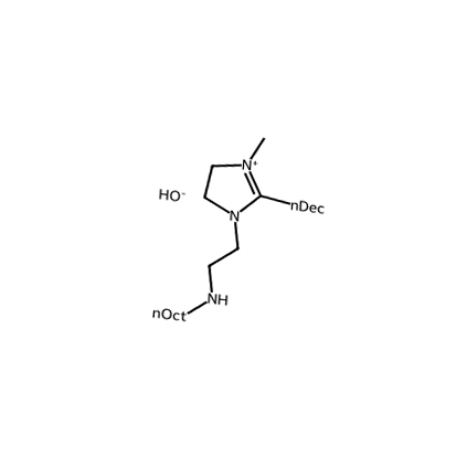 CCCCCCCCCCC1=[N+](C)CCN1CCNCCCCCCCC.[OH-]